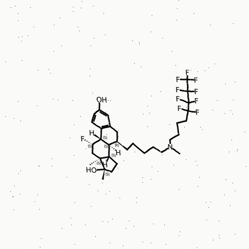 CN(CCCCC[C@@H]1Cc2cc(O)ccc2[C@@H]2[C@@H]1[C@@H]1CC[C@](C)(O)[C@@]1(C)C[C@@H]2F)CCCCC(F)(F)C(F)(F)C(F)(F)C(F)(F)F